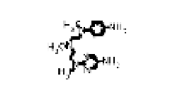 CN(CCN(C)c1ccc(N)cc1)CCN(C)c1ncc(N)cn1